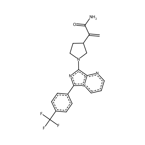 C=C(C(N)=O)C1CCN(c2nc(-c3ccc(C(F)(F)F)cc3)n3cccnc23)C1